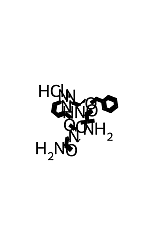 CN(CC(N)=O)C(=O)OCc1cccc2nnc([C@@H](COCc3ccccc3)NC(=O)C(C)(C)N)n12.Cl